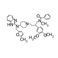 COc1ccc(C(CCN2CCC(N(Cc3ccc(C)o3)c3nc4ccccc4[nH]3)CC2)CN(C)C(=O)c2ccccc2)cc1OC